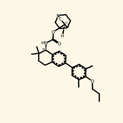 CCCOc1c(C)cc(-c2ccc3c(c2)CCC(C)(C)[C@H]3NC(=O)O[C@@H]2CN3CCC2CC3)cc1C